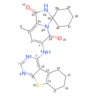 Cc1cc(Nc2ncnc3sc4c(c23)CCCC4)c(=O)n2c1C(=O)NC21CCCCC1